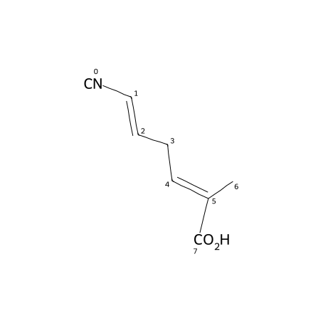 [C-]#[N+]C=CCC=C(C)C(=O)O